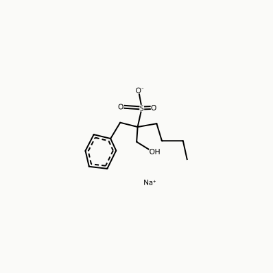 CCCCC(CO)(Cc1ccccc1)S(=O)(=O)[O-].[Na+]